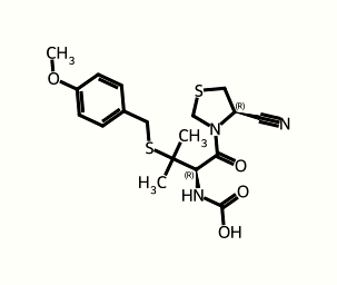 COc1ccc(CSC(C)(C)[C@H](NC(=O)O)C(=O)N2CSC[C@H]2C#N)cc1